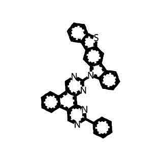 c1ccc(-c2ncc3c4ccccc4c4cnc(-n5c6ccccc6c6cc7sc8ccccc8c7cc65)nc4c3n2)cc1